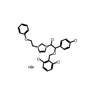 Br.Clc1ccc(C(OCc2c(Cl)cccc2Cl)C(Cl)N2C=CN(CCOc3ccccc3)C2)cc1